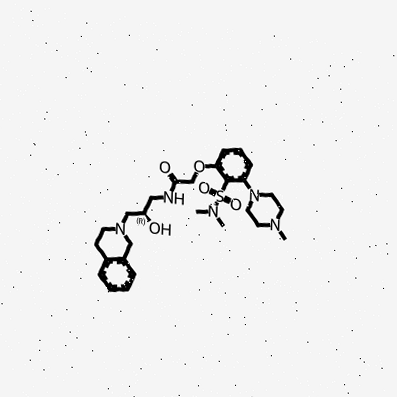 CN1CCN(c2cccc(OCC(=O)NC[C@@H](O)CN3CCc4ccccc4C3)c2S(=O)(=O)N(C)C)CC1